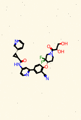 N#Cc1cc(-c2cc(NC(=O)C3C[C@@H]3c3cccnc3)ccn2)ccc1O[C@H]1CCN(C(=O)[C@@H](O)CO)CC1(F)F